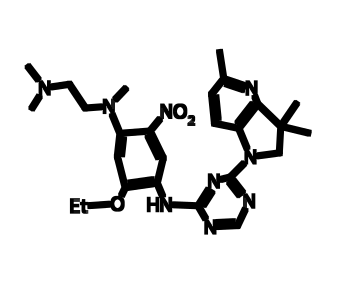 CCOc1cc(N(C)CCN(C)C)c([N+](=O)[O-])cc1Nc1ncnc(N2CC(C)(C)c3nc(C)ccc32)n1